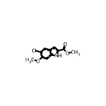 COC(=O)c1cc2cc(Cl)c(OC)cc2[nH]1